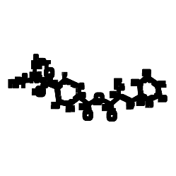 CCCN(CCC)S(=O)(=O)c1ccc(C(=O)OC(=O)/C(F)=C/c2ccccc2)cc1